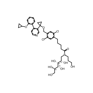 O=C(CCCCc1cc(Cl)c(COC2(c3cnccc3-c3ccccc3OC3CC3)CC2)cc1Cl)N(CCCO)C[C@H](O)[C@@H](O)[C@H](O)[C@H](O)CO